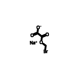 O=C([O-])C(=O)OCBr.[Na+]